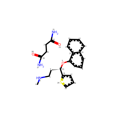 CNCC[C@H](Oc1cccc2ccccc12)c1cccs1.NC(=O)CCC(N)=O